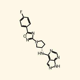 Fc1ccc(-c2nc(N3CC[C@H](Nc4ncnc5[nH]ncc45)C3)no2)cc1